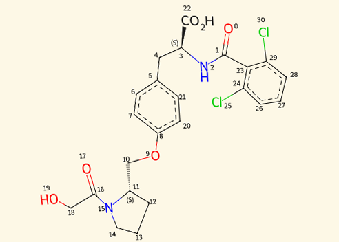 O=C(N[C@@H](Cc1ccc(OC[C@@H]2CCCN2C(=O)CO)cc1)C(=O)O)c1c(Cl)cccc1Cl